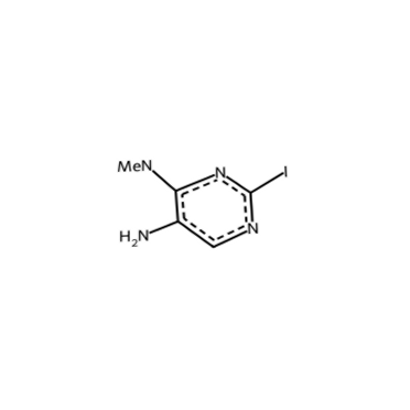 CNc1nc(I)ncc1N